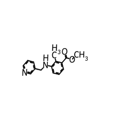 COC(=O)c1cccc(NCc2cccnc2)c1C